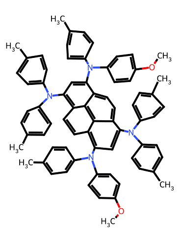 COc1ccc(N(c2ccc(C)cc2)c2cc(N(c3ccc(C)cc3)c3ccc(C)cc3)c3ccc4c(N(c5ccc(C)cc5)c5ccc(OC)cc5)cc(N(c5ccc(C)cc5)c5ccc(C)cc5)c5ccc2c3c54)cc1